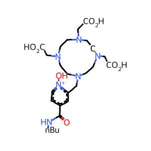 CCCCNC(=O)c1cc[n+](O)c(CN2CCN(CC(=O)O)CCN(CC(=O)O)CCN(CC(=O)O)CC2)c1